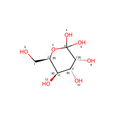 OC[C@H]1OC(O)(O)[C@H](O)[C@H](O)[C@H]1O